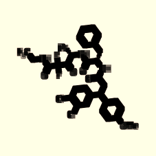 COc1ccc(C(CC(=O)N[C@@H](Cc2ccccc2)C(=O)N[C@H](C(=O)C(F)(F)C(=O)NCC(F)(F)F)C(C)C)c2ccc(Cl)c(Cl)c2)cc1